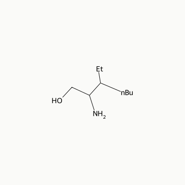 CCCCC(CC)C(N)CO